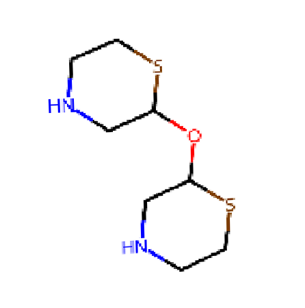 C1CSC(OC2CNCCS2)CN1